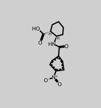 O=C(N[C@@H]1CCCC[C@H]1C(=O)O)c1ccc([N+](=O)[O-])cc1